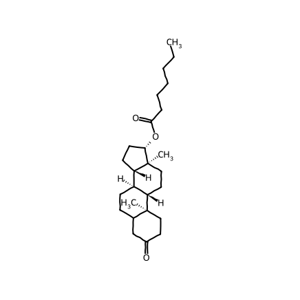 CCCCCCC(=O)O[C@H]1CC[C@H]2[C@@H]3CCC4CC(=O)CC[C@]4(C)[C@H]3CC[C@]12C